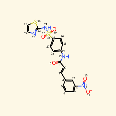 O=C(/C=C/c1cccc([N+](=O)[O-])c1)Nc1ccc(S(=O)(=O)Nc2nccs2)cc1